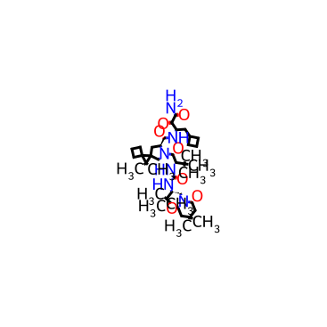 CC1(C)CC(=O)N(C[C@@H](NC(=O)N[C@H](C(=O)N2CC3(C[C@H]2C(=O)NC(CC2CCC2)C(=O)C(N)=O)C(C)(C)C32CCC2)C(C)(C)C)C(C)(C)C)C(=O)C1